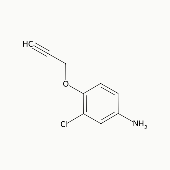 C#CCOc1ccc(N)cc1Cl